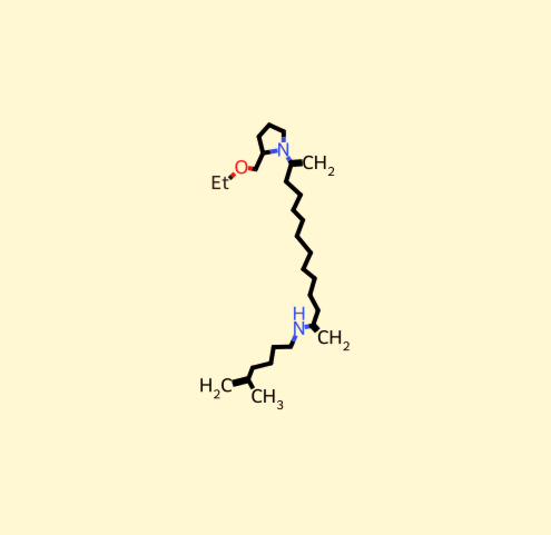 C=C(C)CCCCNC(=C)CCCCCCCCCCC(=C)N1CCCC1COCC